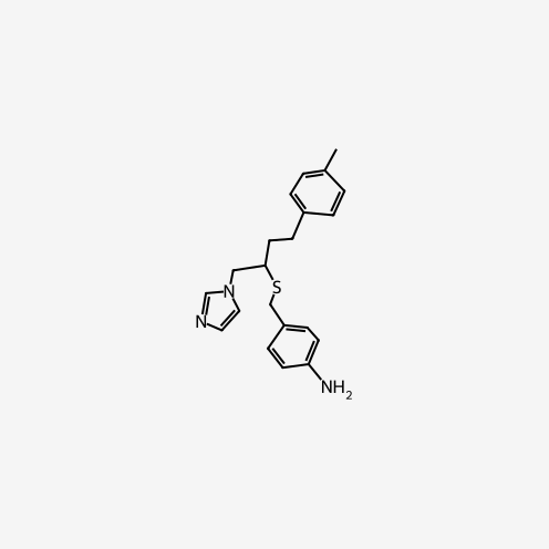 Cc1ccc(CCC(Cn2ccnc2)SCc2ccc(N)cc2)cc1